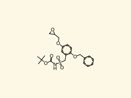 CC(C)(C)OC(=O)NS(=O)(=O)Cc1cc(OCC2CO2)ccc1OCc1ccccc1